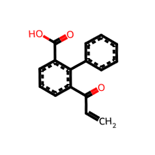 C=CC(=O)c1cccc(C(=O)O)c1-c1ccccc1